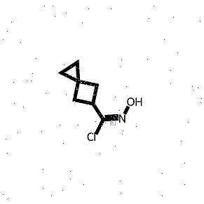 O/N=C(/Cl)C1CC2(CC2)C1